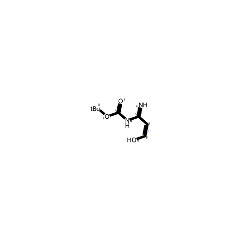 CC(C)(C)OC(=O)NC(=N)/C=C\O